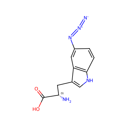 [N-]=[N+]=Nc1ccc2[nH]cc(C[C@H](N)C(=O)O)c2c1